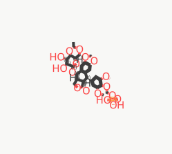 COc1cc([C@@H]2c3cc4c(cc3[C@@H](O[C@@H]3O[C@@H]5COC(C)OC5[C@H](O)[C@H]3O)[C@H]3COC(=O)[C@H]23)OCO4)cc(OC)c1OCOP(=O)(O)O